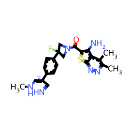 CN/C=C(\C=N)c1ccc(C2(F)CN(C(=O)c3sc4nnc(C)c(C)c4c3N)C2)cc1